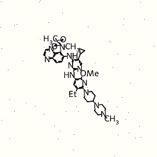 CCc1cc(Nc2ncc(C3CC3)c(Nc3ccc4nccnc4c3N(C)S(C)(=O)=O)n2)c(OC)nc1N1CCC(N2CCN(C)CC2)CC1